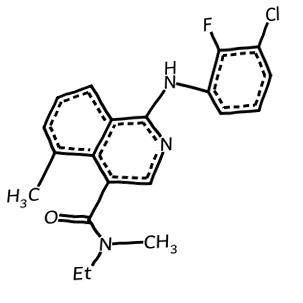 CCN(C)C(=O)c1cnc(Nc2cccc(Cl)c2F)c2cccc(C)c12